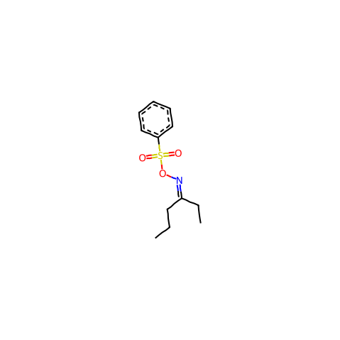 CCCC(CC)=NOS(=O)(=O)c1ccccc1